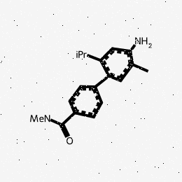 CNC(=O)c1ccc(-c2cc(C)c(N)cc2C(C)C)cc1